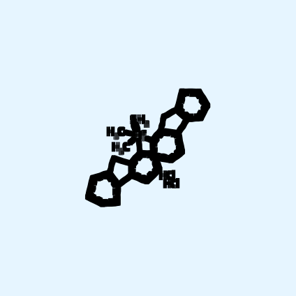 Cl.Cl.[CH3][Hf]([CH3])(=[SiH2])([c]1cccc2c1Cc1ccccc1-2)[c]1cccc2c1Cc1ccccc1-2